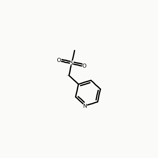 CS(=O)(=O)[CH]c1cccnc1